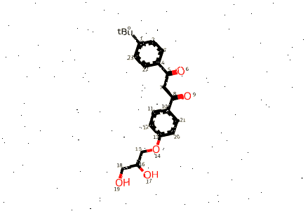 CC(C)(C)c1ccc(C(=O)CC(=O)c2ccc(OCC(O)CO)cc2)cc1